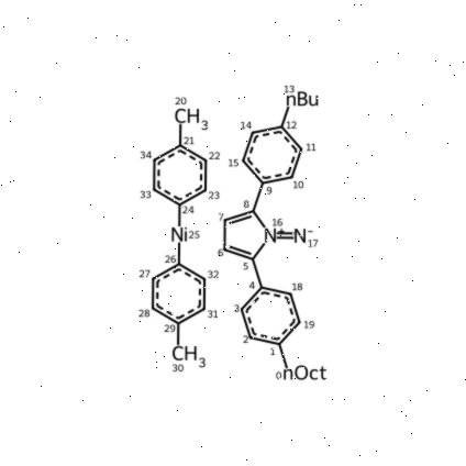 CCCCCCCCc1ccc(C2=CC=C(c3ccc(CCCC)cc3)[N+]2=[N-])cc1.Cc1cc[c]([Ni][c]2ccc(C)cc2)cc1